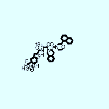 CC(C)(C)[C@H](NC(=O)c1cc2cc(C(F)(F)P(=O)(O)O)ccc2s1)C(=O)N1Cc2ccccc2C[C@H]1C(=O)N1CCOC(c2cccc3ccccc23)C1